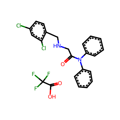 O=C(CNCc1ccc(Cl)cc1Cl)N(c1ccccc1)c1ccccc1.O=C(O)C(F)(F)F